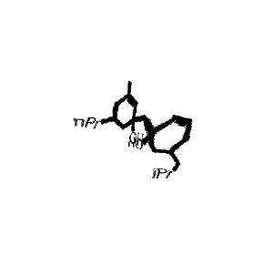 CCCC1CC(C)=CC(O)(CC2(O)C=CCC(CC(C)C)C2)C1